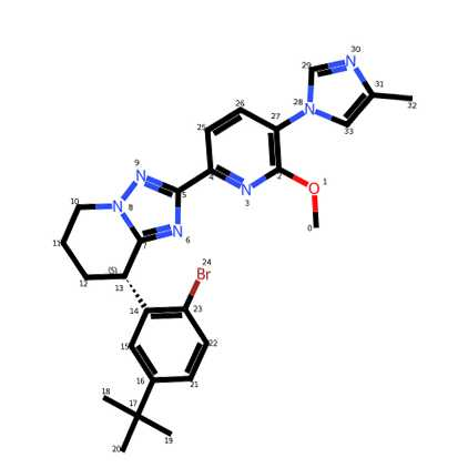 COc1nc(-c2nc3n(n2)CCC[C@H]3c2cc(C(C)(C)C)ccc2Br)ccc1-n1cnc(C)c1